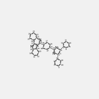 c1ccc(-c2cc(-c3ccccc3)nc(-c3ccc(-c4nc5ccccc5c5nc6ccccc6n45)cc3)n2)cc1